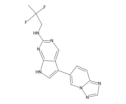 CC(F)(F)CNc1ncc2c(-c3ccc4ncnn4c3)c[nH]c2n1